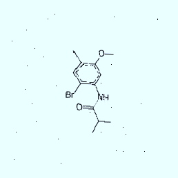 COc1cc(NC(=O)C(C)C)c(Br)cc1C